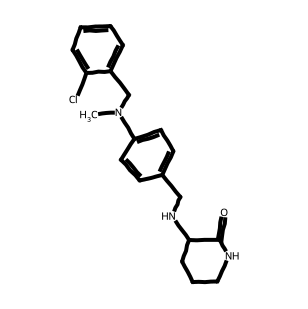 CN(Cc1ccccc1Cl)c1ccc(CNC2CCCNC2=O)cc1